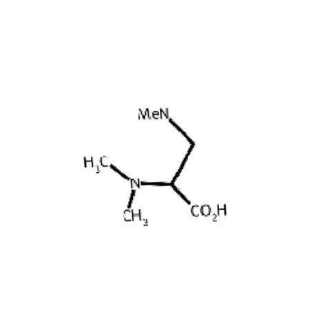 CNCC(C(=O)O)N(C)C